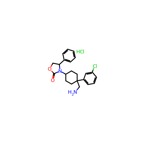 Cl.NCC1(c2cccc(Cl)c2)CCC(N2C(=O)OCC2c2ccccc2)CC1